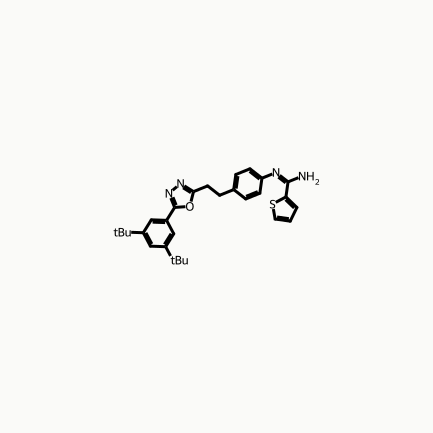 CC(C)(C)c1cc(-c2nnc(CCc3ccc(/N=C(/N)c4cccs4)cc3)o2)cc(C(C)(C)C)c1